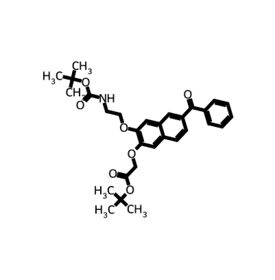 CC(C)(C)OC(=O)COc1cc2ccc(C(=O)c3ccccc3)cc2cc1OCCNC(=O)OC(C)(C)C